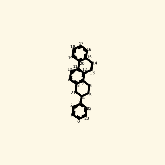 c1ccc(C2CCc3c(ccc4c3CCc3ccccc3-4)C2)cc1